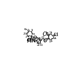 Cc1ccc(S(=O)(=O)Nc2nc(COc3ccc(Cl)cc3Cl)cs2)cc1